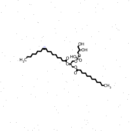 CCCCCCC/C=C\CCCCCCCC(=O)O[C@H](COC(=O)CCCCCCCCCCC)COP(=O)(O)OC[C@@H](O)CO